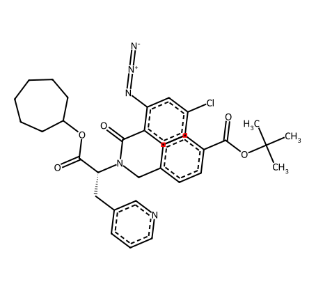 CC(C)(C)OC(=O)c1ccc(CN(C(=O)c2ccc(Cl)cc2N=[N+]=[N-])[C@H](Cc2cccnc2)C(=O)OC2CCCCCC2)cc1